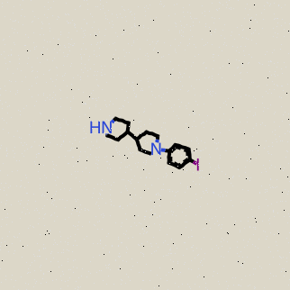 Ic1ccc(N2CCC(C3CCNCC3)CC2)cc1